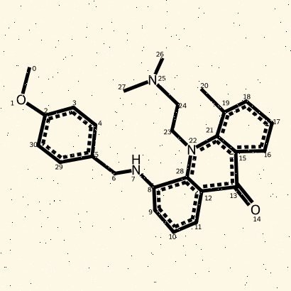 COc1ccc(CNc2cccc3c(=O)c4cccc(C)c4n(CCN(C)C)c23)cc1